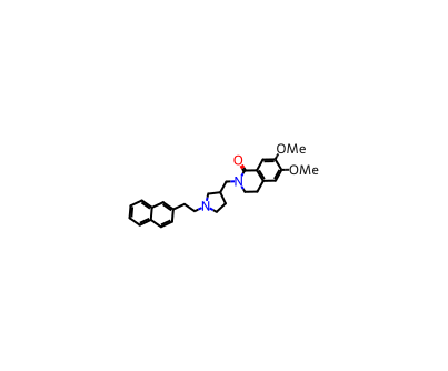 COc1cc2c(cc1OC)C(=O)N(CC1CCN(CCc3ccc4ccccc4c3)C1)CC2